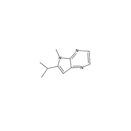 CC(C)c1cc2nccnc2n1C